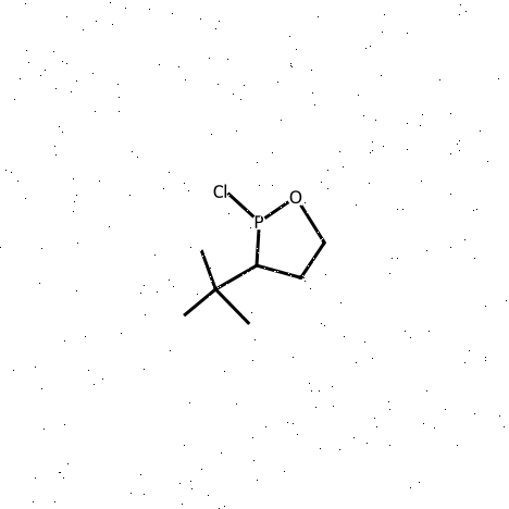 CC(C)(C)C1CCOP1Cl